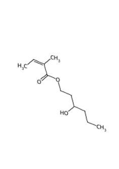 CC=C(C)C(=O)OCCC(O)CCC